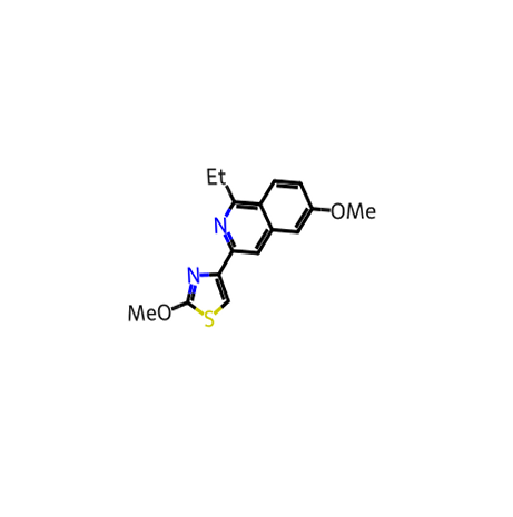 CCc1nc(-c2csc(OC)n2)cc2cc(OC)ccc12